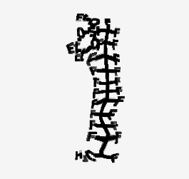 CCO[Si](OCC)(OCC)C(F)(F)C(F)(F)C(F)(F)C(F)(F)C(F)(F)C(F)(F)C(F)(F)C(F)(F)C(F)(F)C(F)(F)C(C)F